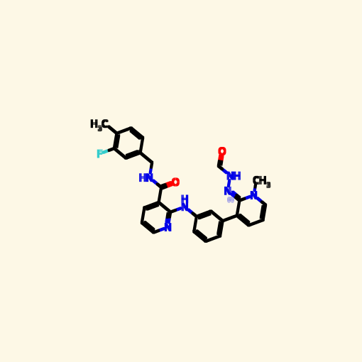 Cc1ccc(CNC(=O)c2cccnc2Nc2cccc(-c3cccn(C)/c3=N\NC=O)c2)cc1F